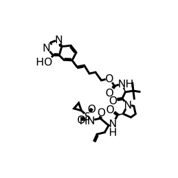 C=CCC(NC(=O)[C@@H]1CCCN1C(=O)[C@@H](NC(=O)OCCC/C=C/c1ccc2ncnc(O)c2c1)C(C)(C)C)C(=O)NS(=O)(=O)C1CC1